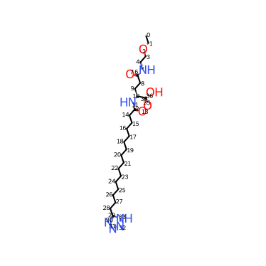 CCOCCNC(=O)CC[C@H](NC(=O)CCCCCCCCCCCCCCCc1nnn[nH]1)C(=O)O